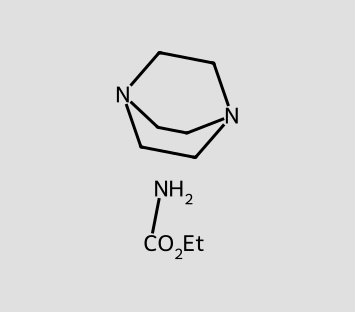 C1CN2CCN1CC2.CCOC(N)=O